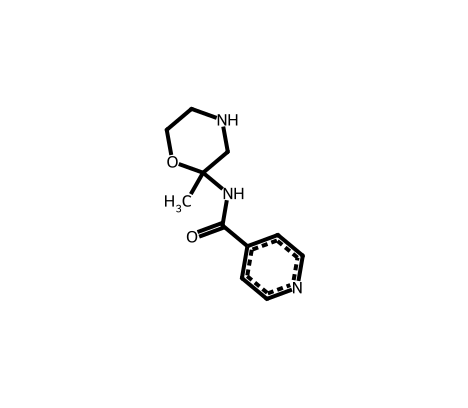 CC1(NC(=O)c2ccncc2)CNCCO1